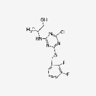 CC(CO)Nc1nc(Cl)nc(SCc2cccc(F)c2F)n1